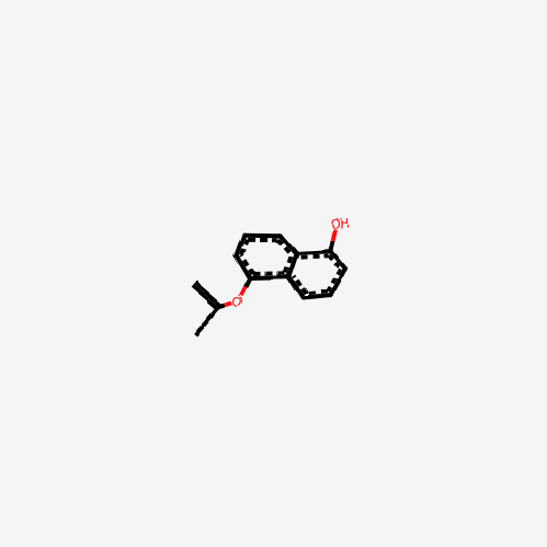 C=C(C)Oc1cccc2c(O)cccc12